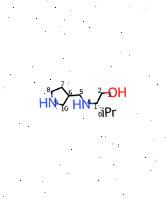 CC(C)[C@@H](CO)NCC1CCNC1